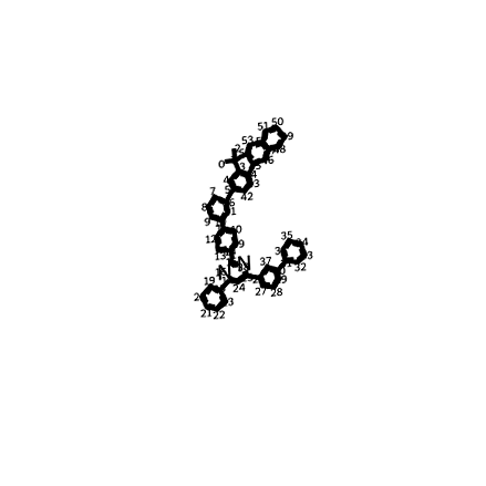 CC1(C)c2cc(-c3cccc(-c4ccc(-c5nc(-c6ccccc6)cc(-c6cccc(-c7ccccc7)c6)n5)cc4)c3)ccc2-c2cc3ccccc3cc21